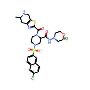 CC1Cc2nc(C(=O)N3CCN(S(=O)(=O)c4ccc5cc(Cl)ccc5c4)CC3C(=O)NN3CCOCC3)sc2CN1.Cl